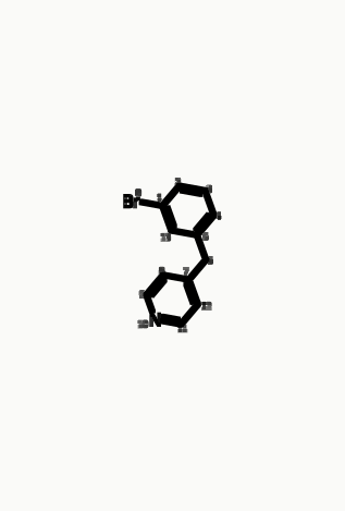 Brc1[c]ccc(Cc2ccncc2)c1